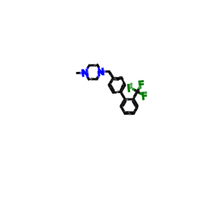 CN1CCN(Cc2ccc(-c3ccccc3C(F)(F)F)cc2)CC1